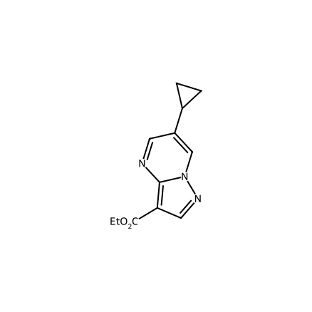 CCOC(=O)c1cnn2cc(C3CC3)cnc12